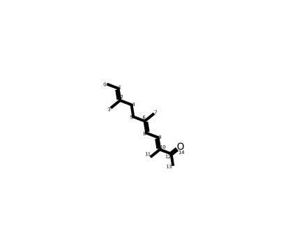 C/C=C(\C)CC/C(C)=C/C=C(\C)C(C)=O